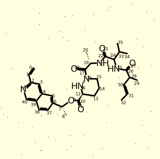 C=Cc1cc2cc([C@@H](C)OC(=O)[C@@H]3CCCN(C(=O)[C@H](C)NC(=O)C(NC(=O)C(C)/C=C/C)C(C)C)N3)ccc2cn1